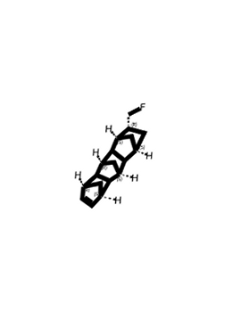 FC[C@@H]1C[C@@H]2C[C@H]1C1C2[C@@H]2C[C@H]1C1C2[C@H]2C=C[C@@H]1C2